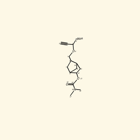 C#CC(CCCCCCCCC)OCC1CC2CC1CC2OC(=O)N(C)C